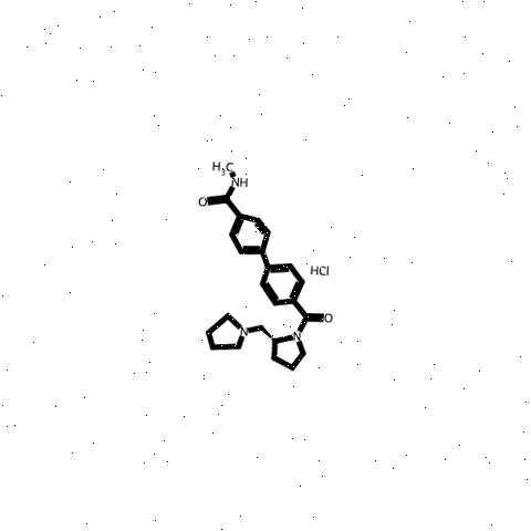 CNC(=O)c1ccc(-c2ccc(C(=O)N3CCC[C@H]3CN3CCCC3)cc2)cc1.Cl